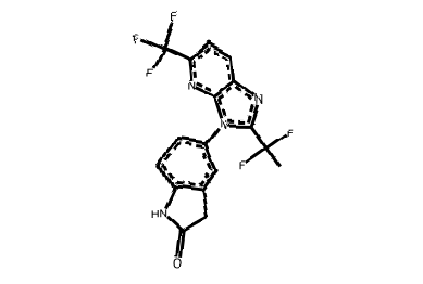 CC(F)(F)c1nc2ccc(C(F)(F)F)nc2n1-c1ccc2c(c1)CC(=O)N2